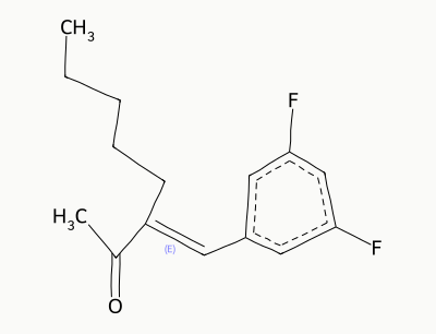 CCCCC/C(=C\c1cc(F)cc(F)c1)C(C)=O